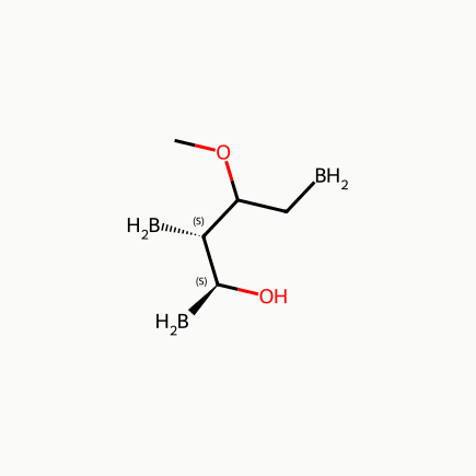 BCC(OC)[C@@H](B)[C@H](B)O